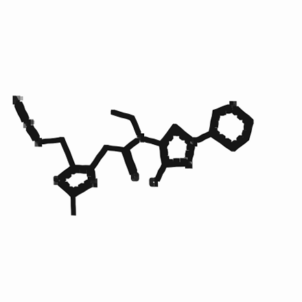 CCN(C(=O)Cc1nc(C)sc1CN=[N+]=[N-])c1cn(-c2cccnc2)nc1Cl